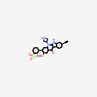 C#Cc1ccc2c(c1)[nH]c1c2c(=O)c2cc(OCC)c(-c3cccc(S(=O)(=O)F)c3)cc2n1C1CNC1